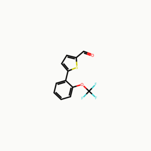 O=Cc1ccc(-c2ccccc2OC(F)(F)F)s1